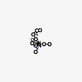 C/C=C\C(=C/c1ccccc1)c1nc(-c2ccc(-c3ccccc3)cc2)nc(-c2ccc(-c3cccc4c3sc3c5ccccc5ccc43)c3oc4ccccc4c23)n1